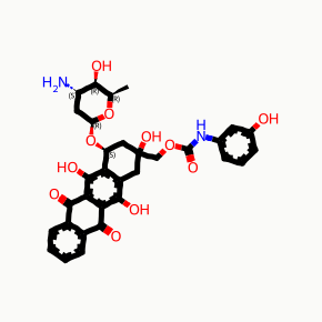 C[C@H]1O[C@@H](O[C@H]2CC(O)(COC(=O)Nc3cccc(O)c3)Cc3c(O)c4c(c(O)c32)C(=O)c2ccccc2C4=O)C[C@H](N)[C@H]1O